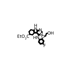 CCOC(=O)C1CCc2[nH]c3ncnc(Nc4ccc(F)cc4OCCO)c3c2C1